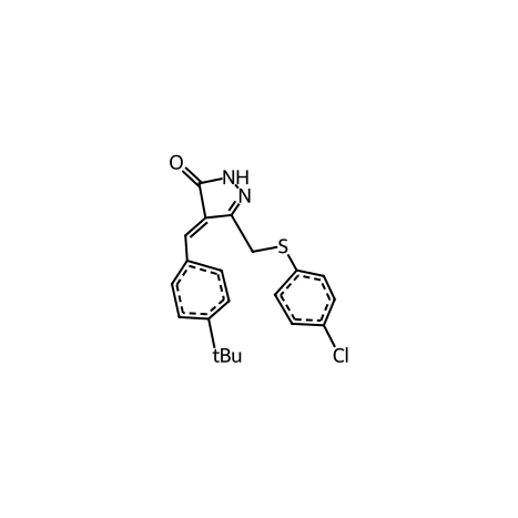 CC(C)(C)c1ccc(C=C2C(=O)NN=C2CSc2ccc(Cl)cc2)cc1